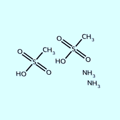 CS(=O)(=O)O.CS(=O)(=O)O.N.N